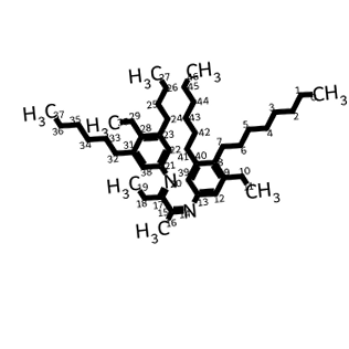 CCCCCCCCc1c(CC)cc(N=C(C)C(CC)=Nc2cc(CCCC)c(CC)c(CCCCCC)c2)cc1CCCCCC